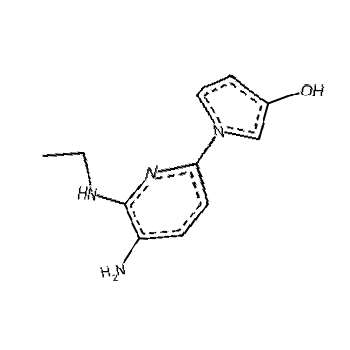 CCNc1nc(-n2ccc(O)c2)ccc1N